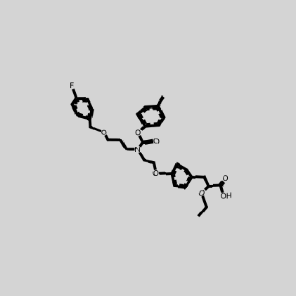 CCOC(Cc1ccc(OCCN(CCCOCc2ccc(F)cc2)C(=O)Oc2ccc(C)cc2)cc1)C(=O)O